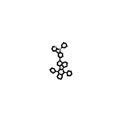 c1ccc(-c2c3c(c(-c4ccccc4)c4ccccc24)-c2ccc(-c4ccc5c(c4)c4cccnc4n5-c4ccccc4)c4cccc-3c24)cc1